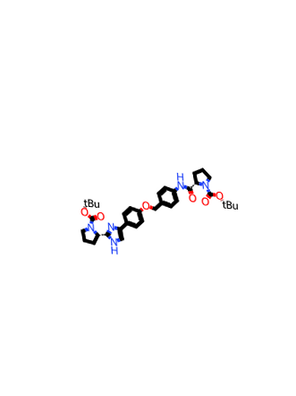 CC(C)(C)OC(=O)N1CCC[C@H]1C(=O)Nc1ccc(COc2ccc(-c3c[nH]c([C@@H]4CCCN4C(=O)OC(C)(C)C)n3)cc2)cc1